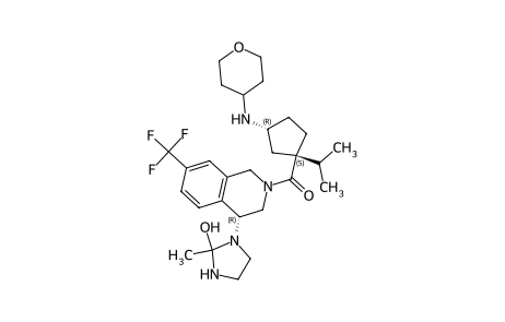 CC(C)[C@]1(C(=O)N2Cc3cc(C(F)(F)F)ccc3[C@@H](N3CCNC3(C)O)C2)CC[C@@H](NC2CCOCC2)C1